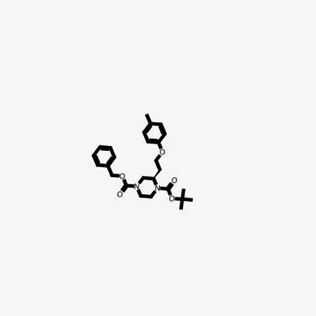 Cc1ccc(OCC[C@@H]2CN(C(=O)OCc3ccccc3)CCN2C(=O)OC(C)(C)C)cc1